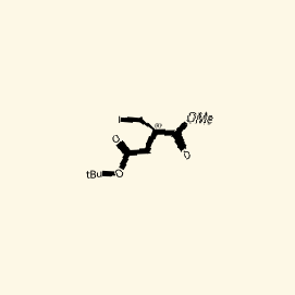 COC(=O)[C@H](CI)CC(=O)OC(C)(C)C